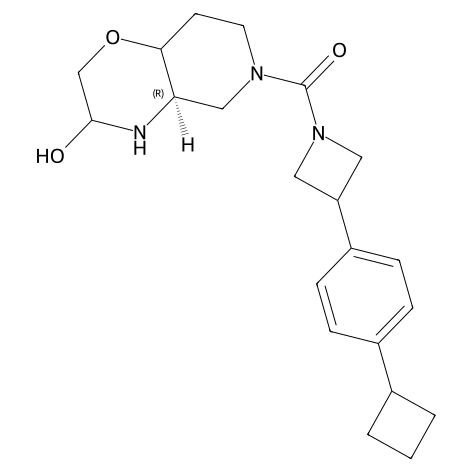 O=C(N1CC(c2ccc(C3CCC3)cc2)C1)N1CCC2OCC(O)N[C@@H]2C1